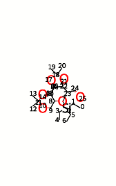 CC[Si](CC)(CC)OC1COC(C)(C)O[C@H]1[C@@H]1OC(C)(C)OC1CC=O